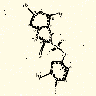 Nc1cc(NS(=O)(=O)c2cc3c(Br)cc(Br)cc3[nH]c2=O)ccc1F